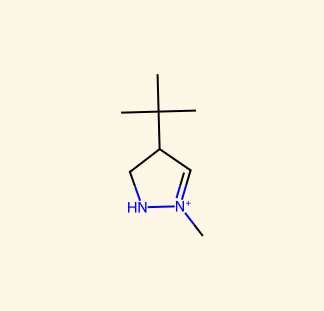 C[N+]1=CC(C(C)(C)C)CN1